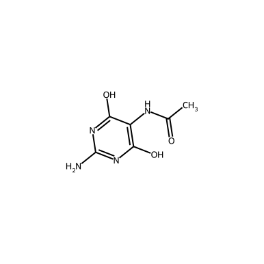 CC(=O)Nc1c(O)nc(N)nc1O